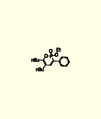 CCCCC1=C(CCCC)OP(=O)(OCC)C(c2ccccc2)=C1